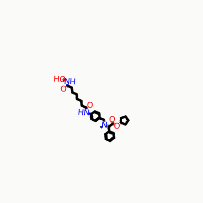 CN(Cc1ccc(NC(=O)CCCCCCC(=O)NO)cc1)[C@H](C(=O)OC1CCCC1)c1ccccc1